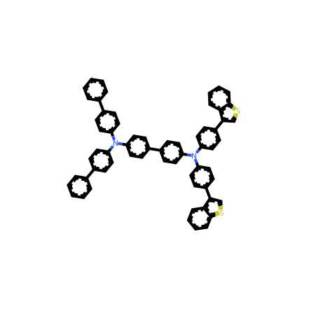 c1ccc(-c2ccc(N(c3ccc(-c4ccccc4)cc3)c3ccc(-c4ccc(N(c5ccc(-c6csc7ccccc67)cc5)c5ccc(-c6csc7ccccc67)cc5)cc4)cc3)cc2)cc1